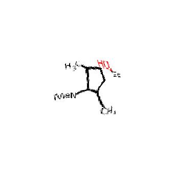 CCO.CNC1C(C)CCC1C